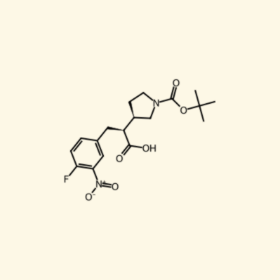 CC(C)(C)OC(=O)N1CC[C@H]([C@H](Cc2ccc(F)c([N+](=O)[O-])c2)C(=O)O)C1